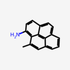 Cc1cc2cccc3ccc4ccc(N)c1c4c32